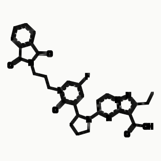 CCc1nn2ccc(N3CCCC3c3cc(F)cn(CCCN4C(=O)c5ccccc5C4=O)c3=O)nc2c1C(=O)O